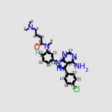 CN(C)C/C=C/C(=O)N(C)c1cc(-n2nc(-c3ccc(Cl)cc3)c3c(N)ncnc32)ccc1F